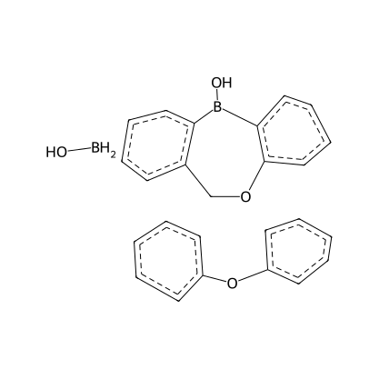 BO.OB1c2ccccc2COc2ccccc21.c1ccc(Oc2ccccc2)cc1